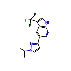 CC(C)n1ccc(-c2cnc3[nH]cc(C(F)(F)F)c3c2)n1